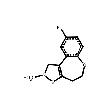 O=C(O)N1CC2=C(CCOc3ccc(Br)cc32)S1